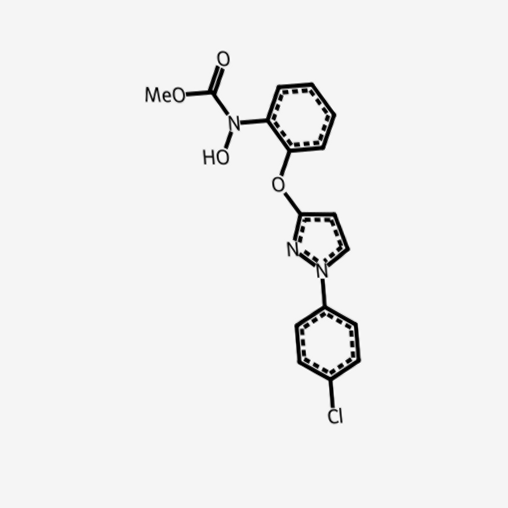 COC(=O)N(O)c1ccccc1Oc1ccn(-c2ccc(Cl)cc2)n1